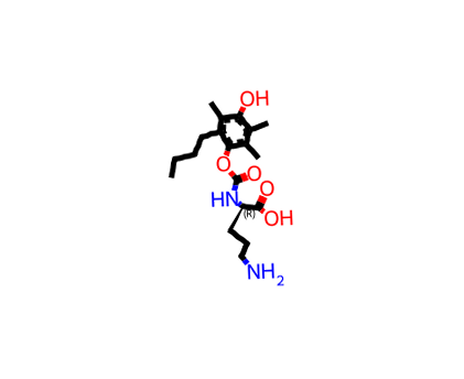 CCCCc1c(C)c(O)c(C)c(C)c1OC(=O)N[C@H](CCCN)C(=O)O